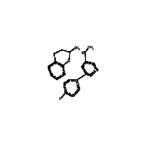 CC1CCc2ccccc2O1.CNc1cncc(-c2ccc(F)cc2)c1